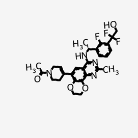 CC(=O)N1CC=C(c2cc3c(N[C@H](C)c4cccc(C(F)(F)CO)c4F)nc(C)nc3c3c2OCCO3)CC1